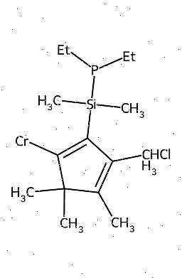 CCP(CC)[Si](C)(C)C1=[C]([Cr])C(C)(C)C(C)=C1C.Cl